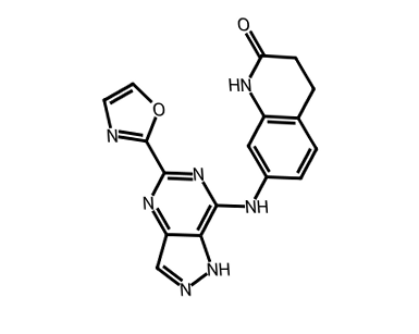 O=C1CCc2ccc(Nc3nc(-c4ncco4)nc4cn[nH]c34)cc2N1